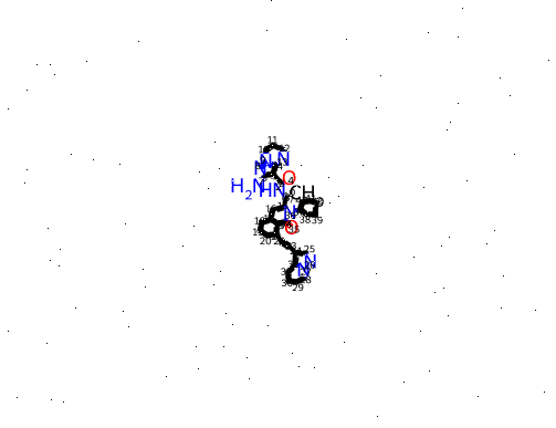 C[C@H](NC(=O)c1c(N)nn2cccnc12)c1cc2cccc(C#Cc3cnn4ccccc34)c2c(=O)n1-c1ccccc1